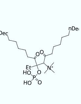 CCCCCCCCCCCCCCCC(=O)C(C(CC)(OP(=O)(O)O)C(=O)CCCCCCCCCCCCCCC)[N+](C)(C)C